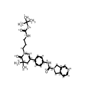 CC(C)(C)OC(=O)NCCCN1N=C(c2ccc(NC(=O)N3Cc4ccncc4C3)cc2)CC(C)(C)C1=O